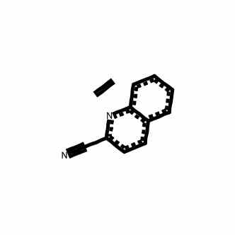 C=C.N#Cc1ccc2ccccc2n1